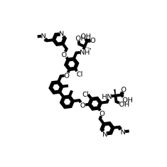 C/N=C/c1cncc(COc2cc(OCc3cccc(-c4cccc(COc5cc(OCc6cncc(/C=N/C)c6)c(CN[C@@](C)(CO)C(=O)O)cc5Cl)c4C)c3C)c(Cl)cc2CN[C@@](C)(CO)C(=O)O)c1